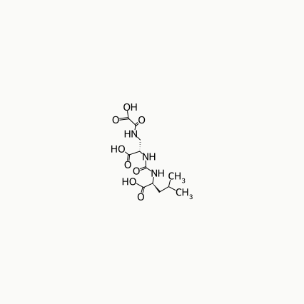 CC(C)C[C@H](NC(=O)N[C@@H](CNC(=O)C(=O)O)C(=O)O)C(=O)O